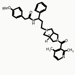 COc1ccc(CC(=O)NC(CCN2CC3CN(C(=O)c4c(C)ccnc4C)C[C@@H]3C2)c2ccccc2)cc1